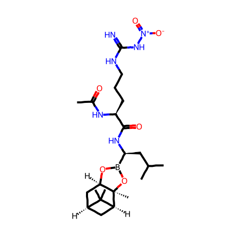 CC(=O)N[C@@H](CCCNC(=N)N[N+](=O)[O-])C(=O)N[C@@H](CC(C)C)B1O[C@@H]2C[C@@H]3C[C@@H](C3(C)C)[C@]2(C)O1